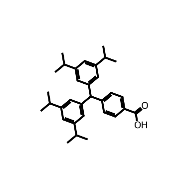 CC(C)c1cc(C(C)C)cc(C(c2ccc(C(=O)O)cc2)c2cc(C(C)C)cc(C(C)C)c2)c1